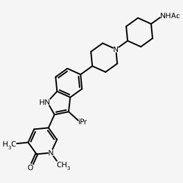 CC(=O)NC1CCC(N2CCC(c3ccc4[nH]c(-c5cc(C)c(=O)n(C)c5)c(C(C)C)c4c3)CC2)CC1